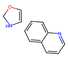 C1=COCN1.c1ccc2ncccc2c1